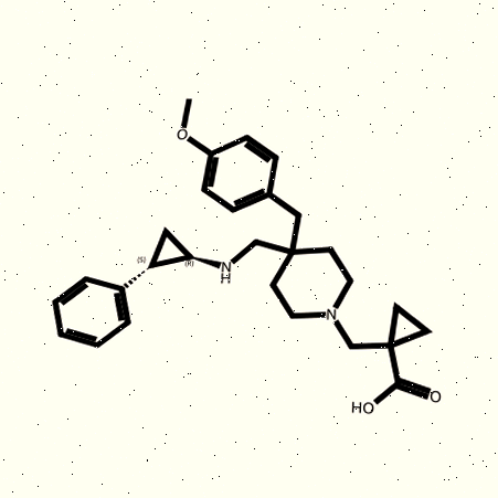 COc1ccc(CC2(CN[C@@H]3C[C@H]3c3ccccc3)CCN(CC3(C(=O)O)CC3)CC2)cc1